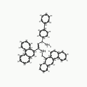 NC(/C=C(\NCc1c2ccccc2cc2c1ccc1ccccc12)c1cc2ccccc2c2ccccc12)c1ccc(-c2ccccc2)cc1